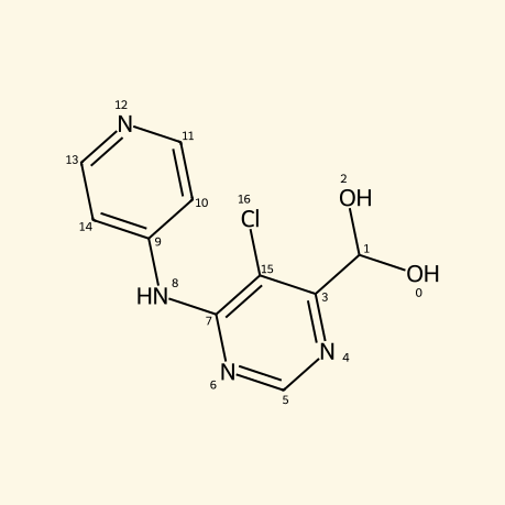 OC(O)c1ncnc(Nc2ccncc2)c1Cl